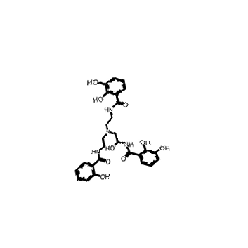 O=C(NCCN(CCNC(=O)c1cccc(O)c1O)CC(O)NC(=O)c1cccc(O)c1O)c1ccccc1O